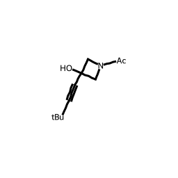 CC(=O)N1CC(O)(C#CC(C)(C)C)C1